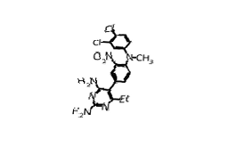 CCc1nc(N)nc(N)c1-c1ccc(N(C)c2ccc(Cl)c(Cl)c2)c([N+](=O)[O-])c1